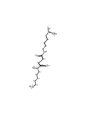 CC(=O)N(O)CCCCCNC(=O)CCC(=O)N(O)CCCCCN